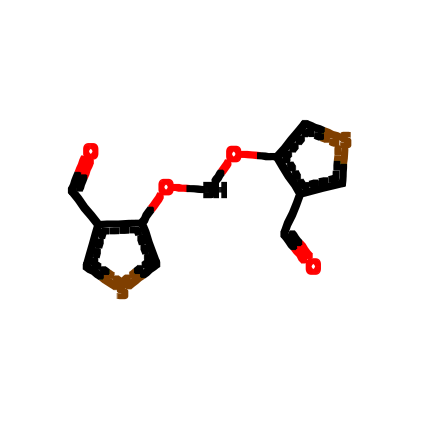 O=Cc1cscc1OBOc1cscc1C=O